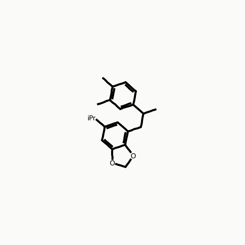 Cc1ccc(C(C)Cc2cc(C(C)C)cc3c2OCO3)cc1C